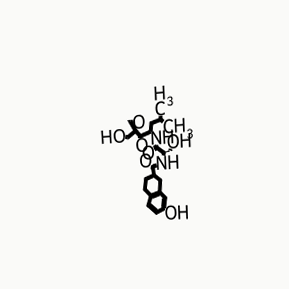 CC(C)CC(NC(=O)[C@H](CO)NC(=O)C1CCc2ccc(O)cc2C1)C(=O)C1(CO)CO1